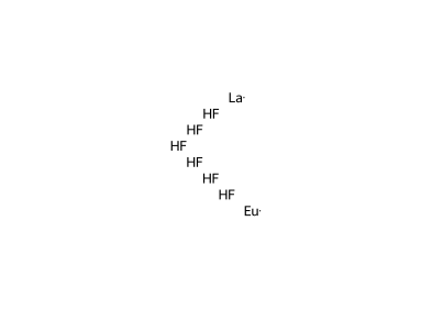 F.F.F.F.F.F.[Eu].[La]